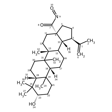 C=C(C)[C@@H]1CC[C@]2(C(=O)N=O)CC[C@]3(C)C(CC[C@@H]4C5(C)CC[C@H](O)C(C)(C)[C@@H]5CCC43C)[C@@H]12